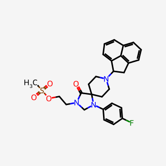 CS(=O)(=O)OCCN1CN(c2ccc(F)cc2)C2(CCN(C3Cc4cccc5cccc3c45)CC2)C1=O